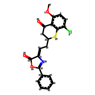 COc1ccc(Cl)c2c1C(=O)CC(CC=C1N=C(c3ccccc3)OC1=O)S2